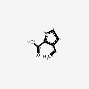 C=Cc1ccsc1C(=O)O